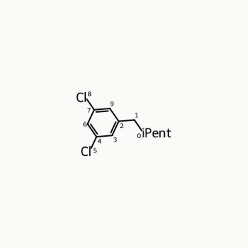 CCCC(C)Cc1cc(Cl)cc(Cl)c1